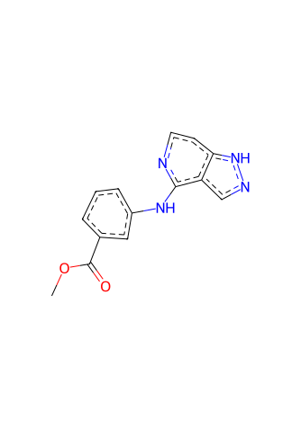 COC(=O)c1cccc(Nc2nccc3[nH]ncc23)c1